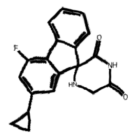 O=C1CNC2(C(=O)N1)c1ccccc1-c1c(F)cc(C3CC3)cc12